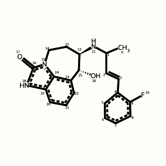 CC(/C=C/c1ccccc1F)N[C@@H]1CCn2c(=O)[nH]c3cccc(c32)[C@H]1O